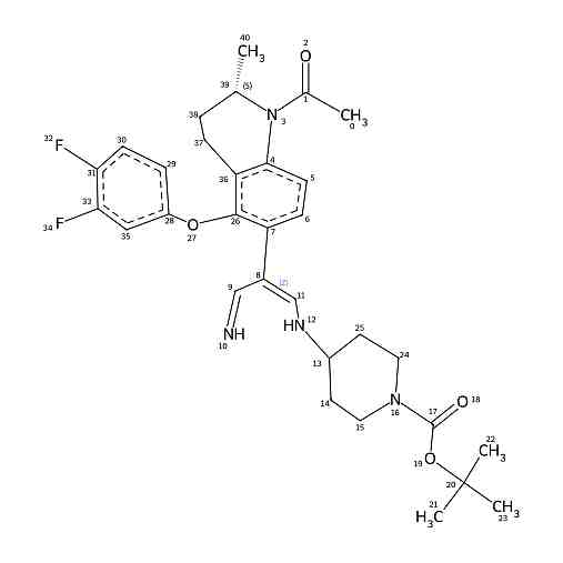 CC(=O)N1c2ccc(/C(C=N)=C/NC3CCN(C(=O)OC(C)(C)C)CC3)c(Oc3ccc(F)c(F)c3)c2CC[C@@H]1C